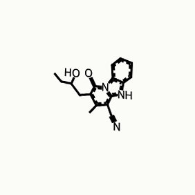 CCC(O)Cc1c(C)c(C#N)c2[nH]c3ccccc3n2c1=O